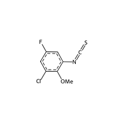 COc1c(Cl)cc(F)cc1N=C=S